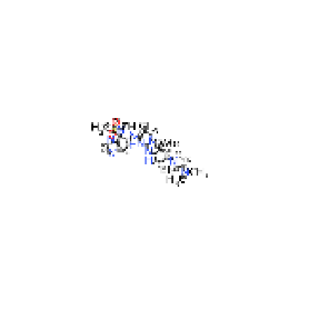 CCc1cc(Nc2ncc(C)c(Nc3ccc4nccnc4c3N(C)S(C)(=O)=O)n2)c(OC)cc1N1CCC(N(C)C)C1